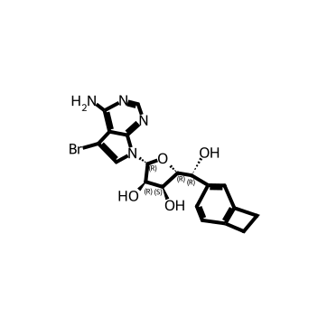 Nc1ncnc2c1c(Br)cn2[C@@H]1O[C@H]([C@H](O)c2ccc3c(c2)CC3)[C@@H](O)[C@H]1O